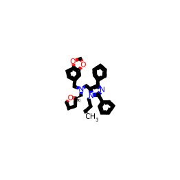 CCCCn1c(-c2ccccc2)nc(-c2ccccc2)c1CN(Cc1ccc2c(c1)OCO2)C[C@H]1CCCO1